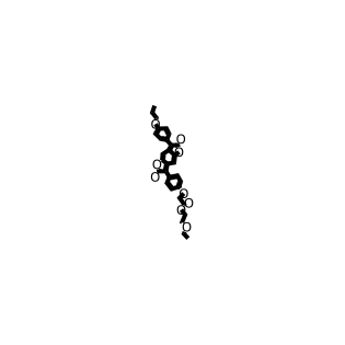 CCCOc1ccc(C2=c3cc4c(cc3OC2=O)=C(c2ccc(OCC(=O)OCCOCC)cc2)C(=O)O4)cc1